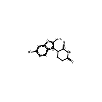 Cc1oc2cc(Br)ccc2c1C1CCC(=O)NC1=O